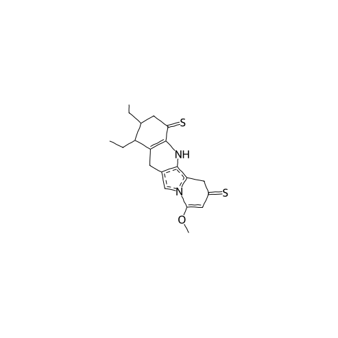 CCC1CC(=S)C2=C(Cc3cn4c(c3N2)CC(=S)C=C4OC)C1CC